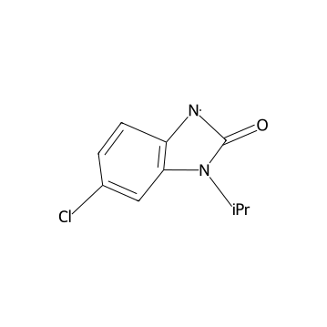 CC(C)N1C(=O)[N]c2ccc(Cl)cc21